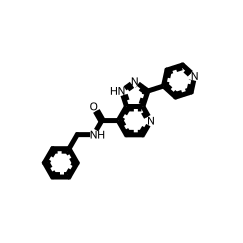 O=C(NCc1ccccc1)c1ccnc2c(-c3ccncc3)n[nH]c12